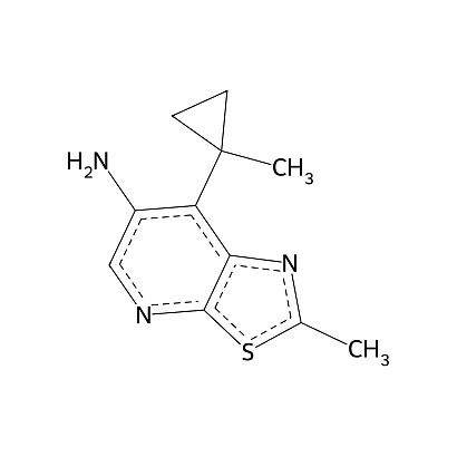 Cc1nc2c(C3(C)CC3)c(N)cnc2s1